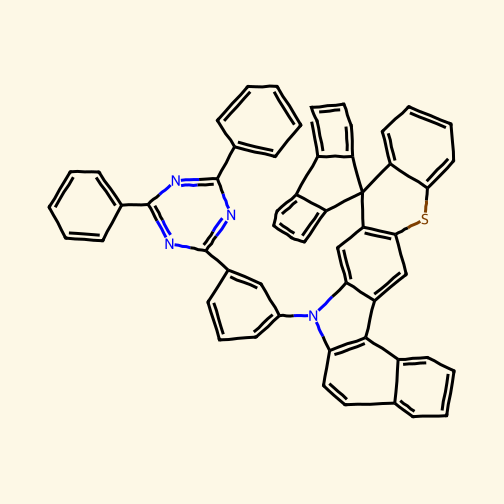 c1ccc(-c2nc(-c3ccccc3)nc(-c3cccc(-n4c5cc6c(cc5c5c7ccccc7ccc54)Sc4ccccc4C64c5ccccc5-c5ccccc54)c3)n2)cc1